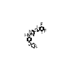 CN1CCC(Oc2ccc(Nc3ncc(OCc4c(F)c(F)cc(F)c4F)cn3)cc2)CC1